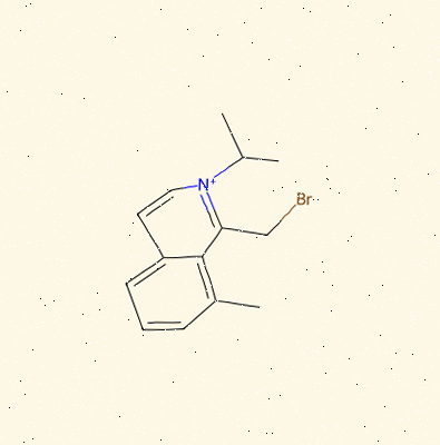 Cc1cccc2cc[n+](C(C)C)c(CBr)c12